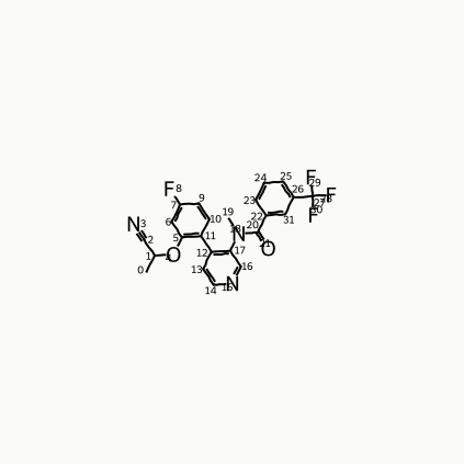 CC(C#N)Oc1cc(F)ccc1-c1ccncc1N(C)C(=O)c1cccc(C(F)(F)F)c1